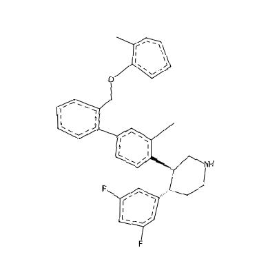 Cc1ccccc1OCc1ccccc1-c1ccc([C@H]2CNCC[C@@H]2c2cc(F)cc(F)c2)c(C)c1